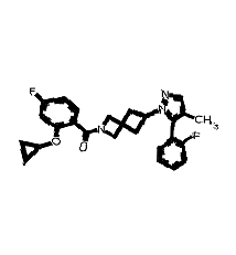 Cc1cnn(C2CC3(C2)CN(C(=O)c2ccc(F)cc2OC2CC2)C3)c1-c1ccccc1F